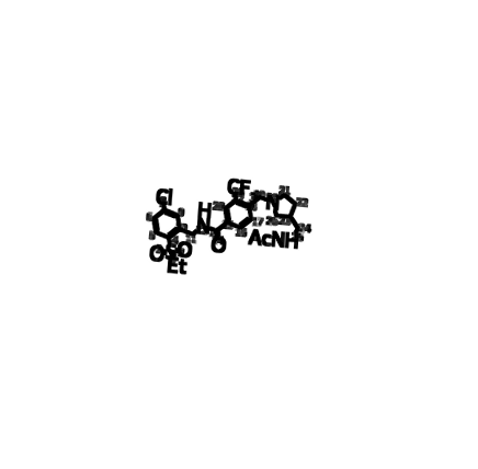 CCS(=O)(=O)c1ccc(Cl)cc1CNC(=O)c1ccc(CN2CCC(CNC(C)=O)C2)c(C(F)(F)F)c1